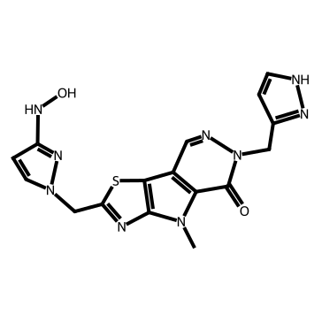 Cn1c2nc(Cn3ccc(NO)n3)sc2c2cnn(Cc3cc[nH]n3)c(=O)c21